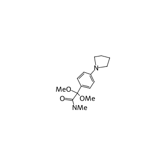 CNC(=O)C(OC)(OC)c1ccc(N2CCCC2)cc1